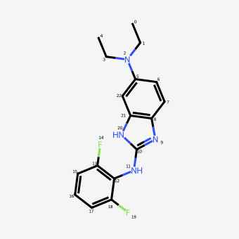 CCN(CC)c1ccc2nc(Nc3c(F)cccc3F)[nH]c2c1